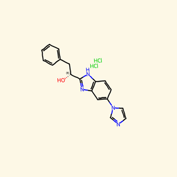 Cl.Cl.O[C@H](Cc1ccccc1)c1nc2cc(-n3ccnc3)ccc2[nH]1